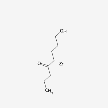 CCCC(=O)CCCCO.[Zr]